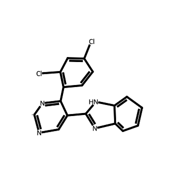 Clc1ccc(-c2n[c]ncc2-c2nc3ccccc3[nH]2)c(Cl)c1